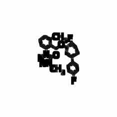 Cc1cccc(-n2nnn(C)c2=O)c1COc1cc(-c2ccc(F)cc2)ccc1F